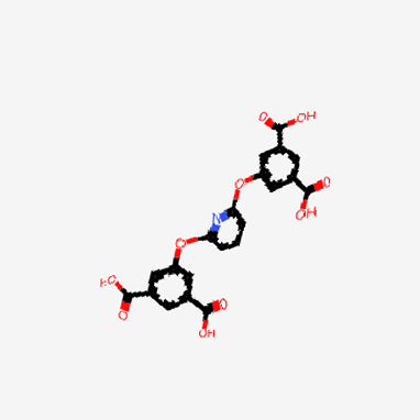 O=C(O)c1cc(Oc2cccc(Oc3cc(C(=O)O)cc(C(=O)O)c3)n2)cc(C(=O)O)c1